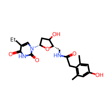 CCc1cn([C@@H]2CC(O)[C@H](CNC(=O)Cc3c(C)cc(O)cc3C)O2)c(=O)[nH]c1=O